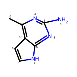 Cc1nc(N)nc2[nH]ccc12